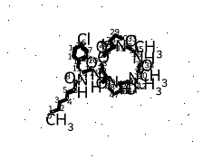 CCCCC/C=C/C(=O)N[C@@H](Cc1ccc(Cl)cc1)C(=O)N[C@H]1COC(=O)[C@@H]2CCCN2C(=O)[C@H](C)NC(=O)[C@H](C)N(C)C(=O)[C@@H]2CCCN2C1=O